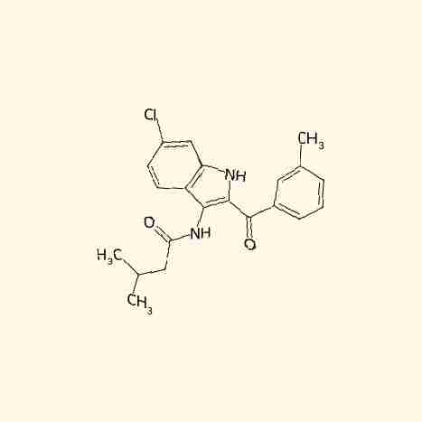 Cc1cccc(C(=O)c2[nH]c3cc(Cl)ccc3c2NC(=O)CC(C)C)c1